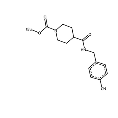 CC(C)(C)OC(=O)N1CCC(C(=O)NCc2ccc(C#N)cc2)CC1